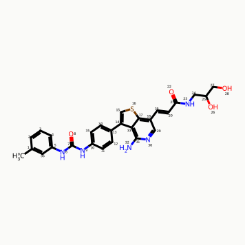 Cc1cccc(NC(=O)Nc2ccc(-c3csc4c(C=CC(=O)NCC(O)CO)cnc(N)c34)cc2)c1